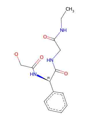 CCNC(=O)CNC(=O)[C@H](NC(=O)C[O])c1ccccc1